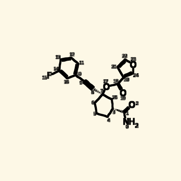 NC(=O)[C@@H]1CCC[C@@](C#Cc2cccc(F)c2)(OC(=O)c2ccoc2)C1